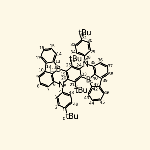 CC(C)(C)c1ccc(N2c3cccc4c3B(c3ccccc3-4)c3c2c(C(C)(C)C)c2c(c3C(C)(C)C)N(c3ccc(C(C)(C)C)cc3)c3cccc4c3B2c2ccccc2-4)cc1